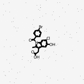 Cc1c(CC(=O)O)c2cc(O)c(Cl)cc2n1C(=O)c1ccc(Br)cc1